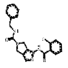 O=C(Nn1ncc2c1CN(C(=O)NCc1ccccc1)C2)c1ccccc1Cl